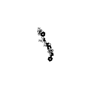 CNS(=O)(=O)c1cccc(OC[C@@H](O)CNC2COC3(CCN(S(=O)(=O)c4ccc(-c5ccccc5)s4)CC3)C2)c1